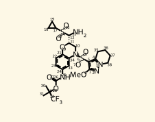 COc1nn2c(c1S(=O)(=O)N1C[C@@H](C(N)S(=O)(=O)C3CC3)Oc3ccc(NC(=O)OC(C)(C)C(F)(F)F)cc31)CCCC2